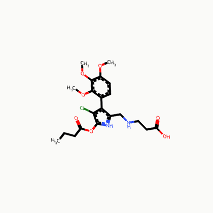 CCCC(=O)Oc1[nH]c(CNCCC(=O)O)c(-c2ccc(OC)c(OC)c2OC)c1Cl